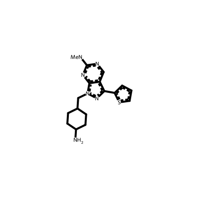 CNc1ncc2c(-c3cccs3)nn(CC3CCC(N)CC3)c2n1